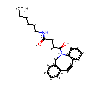 O=C(O)CCCCCNC(=O)CCC(=O)N1Cc2ccccc2C#Cc2ccccc21